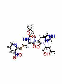 CC(C)C[C@@H](CO)NC(=O)[C@H](Cc1c[nH]cn1)NC(=O)[C@H](CSSc1ncccc1[N+](=O)[O-])NC(=O)OC(C)(C)C